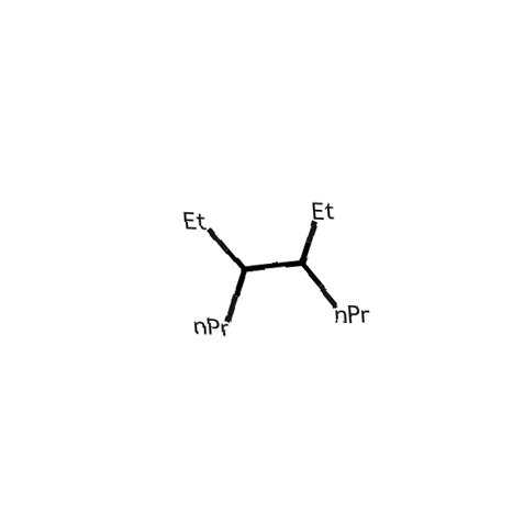 CCC[C](CC)C(CC)CCC